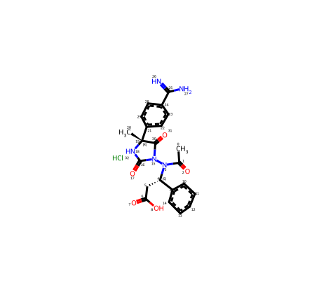 CC(=O)N([C@@H](CC(=O)O)c1ccccc1)N1C(=O)N[C@](C)(c2ccc(C(=N)N)cc2)C1=O.Cl